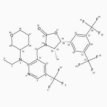 CCN(c1ncc(C(F)(F)F)cc1CN1C(=O)O[C@H](c2cc(C(F)(F)F)cc(C(F)(F)F)c2)[C@@H]1C)C1CCCOC1